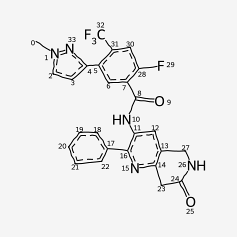 Cn1ccc(-c2cc(C(=O)Nc3cc4c(nc3-c3ccccc3)CC(=O)NC4)c(F)cc2C(F)(F)F)n1